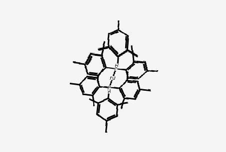 Cc1cc(C)c([PH]([Pd][PH](c2c(C)cc(C)cc2C)(c2c(C)cc(C)cc2C)c2c(C)cc(C)cc2C)(c2c(C)cc(C)cc2C)c2c(C)cc(C)cc2C)c(C)c1